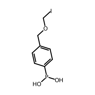 OP(O)c1ccc(COCI)cc1